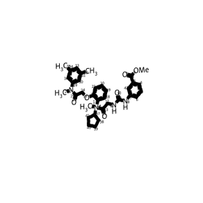 COC(=O)c1cccc(NC(=O)NCC(=O)[N+](C)(c2ccccc2OCC(=O)N(C)c2cc(C)cc(C)c2)C2CCCC2)c1